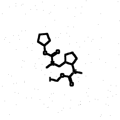 CN(CC1CCCC1N(C)C(=O)OCI)C(=O)OC1CCCC1